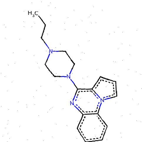 CCCN1CCN(c2nc3ccccc3n3cccc23)CC1